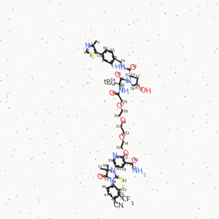 Cc1ncsc1-c1ccc(CNC(=O)[C@@H]2C[C@@H](O)CN2C(=O)[C@@H](NC(=O)COCCOCCOCCOc2ncc(N3C(=S)N(c4ccc(C#N)c(C(F)(F)F)c4F)C(=O)C3(C)C)cc2C(N)=O)C(C)(C)C)cc1